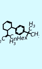 C=C(C)C1CCC=CC1c1ccc(C(C)(C)CCCCCC)cc1